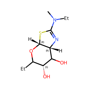 CCC1O[C@@H]2SC(N(C)CC)=N[C@@H]2C(O)[C@@H]1O